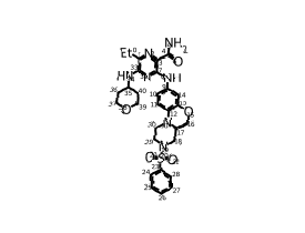 CCc1nc(C(N)=O)c(Nc2ccc3c(c2)OCC2CN(S(=O)(=O)c4ccccc4)CCN32)nc1NC1CCOCC1